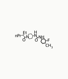 CCCC(CC)C(=O)N1CCC(NC(=O)Nc2ccc(C)c(F)c2)CC1